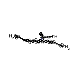 C#CC#CC#CC#CN(/N=C/c1cc2cc(OC(=O)C3CCC(C(=O)Oc4ccc(OCCCCCCOC(=O)C=C)cc4)CC3)ccc2cc1OC(=O)C1CCC(C(=O)Oc2ccc(OCCCCCCOC(=O)C=C)cc2)CC1)c1nc2ccccc2s1